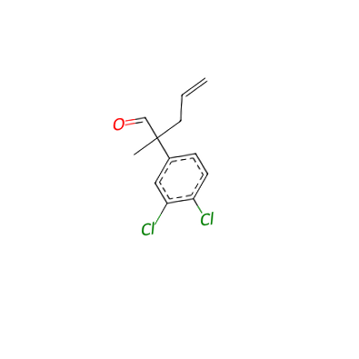 C=CCC(C)(C=O)c1ccc(Cl)c(Cl)c1